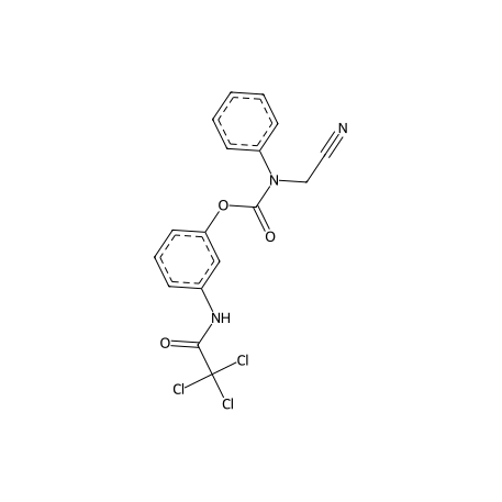 N#CCN(C(=O)Oc1cccc(NC(=O)C(Cl)(Cl)Cl)c1)c1ccccc1